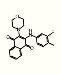 Cc1ccc(NC2=C(N3CCOCC3)C(=O)c3ccccc3C2=O)cc1F